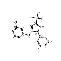 FC(F)(F)c1cc(Oc2ccnc(Cl)c2)n(-c2cncnc2)n1